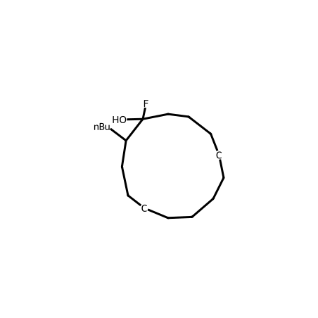 CCCCC1CCCCCCCCCCCC1(O)F